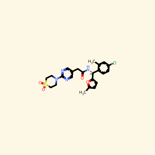 Cc1ccc([C@H](NC(=O)Cc2cnc(N3CCS(=O)(=O)CC3)nc2)c2ccc(Cl)cc2C)o1